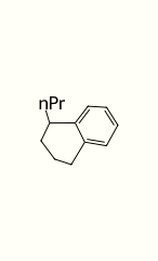 [CH2]CCC1CCCc2ccccc21